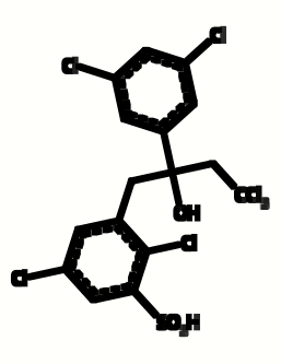 O=S(=O)(O)c1cc(Cl)cc(CC(O)(CC(Cl)(Cl)Cl)c2cc(Cl)cc(Cl)c2)c1Cl